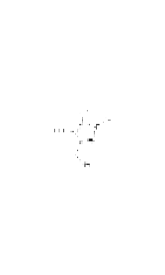 CCCCc1c(O)c(CC(C)C)nn1CC